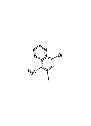 Nc1c(I)cc(Br)c2ncccc12